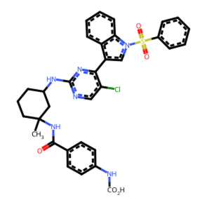 CC1(NC(=O)c2ccc(NC(=O)O)cc2)CCCC(Nc2ncc(Cl)c(-c3cn(S(=O)(=O)c4ccccc4)c4ccccc34)n2)C1